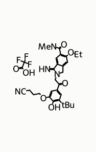 CCOc1cc2c(cc1C(=O)NC)C(=N)N(CC(=O)c1cc(OCCCC#N)c(O)c(C(C)(C)C)c1)C2.O=C(O)C(F)(F)F